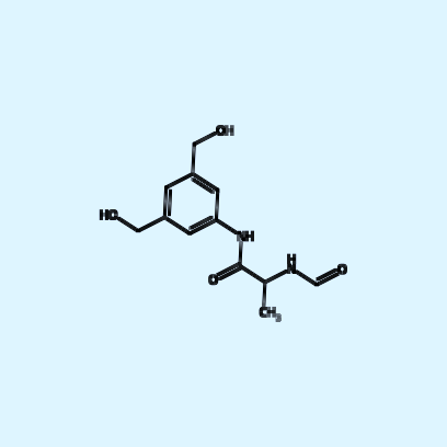 CC(NC=O)C(=O)Nc1cc(CO)cc(CO)c1